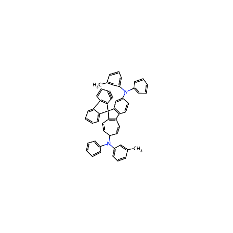 Cc1cccc(N(c2ccccc2)c2ccc3c(c2)C2(C4=C3C=CC(N(c3ccccc3)c3cccc(C)c3)C=C4)c3c#cccc3-c3ccccc32)c1